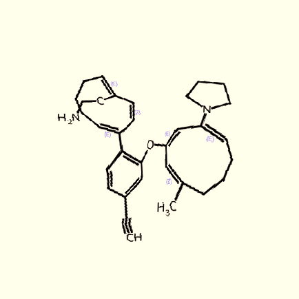 C#Cc1ccc(C2=C/CCC/C=C(CCN)/C=C\2)c(OC2=C/C(N3CCCC3)=C\CCC/C(C)=C\2)c1